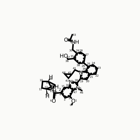 COc1cc(C(=O)N2C[C@H]3CC[C@@H]2[C@@H]3N)cc2nc(-c3cc4cccc(-c5ccc(CNC(C)=O)c(CO)c5)c4n3CC3CC3)n(C)c12